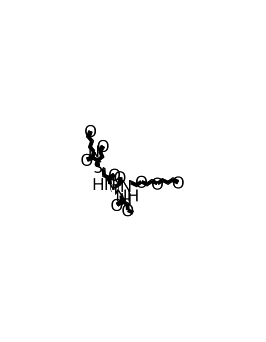 COCC(=O)NC[C@@H](NC(=O)CCSC1CC(=O)N(CCC=O)C1=O)C(=O)NCCOCCOCCC=O